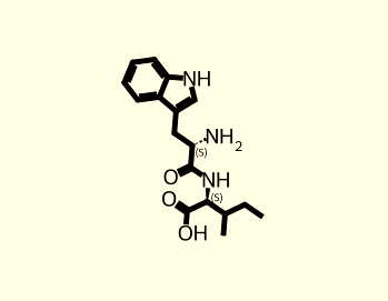 CCC(C)[C@H](NC(=O)[C@@H](N)Cc1c[nH]c2ccccc12)C(=O)O